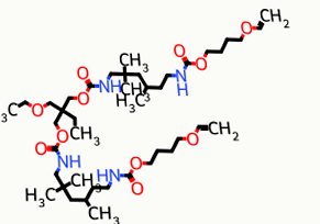 C=COCCCCOC(=O)NCCC(C)CC(C)(C)CNC(=O)OCC(CC)(COCC)COC(=O)NCC(C)(C)CC(C)CCNC(=O)OCCCCOC=C